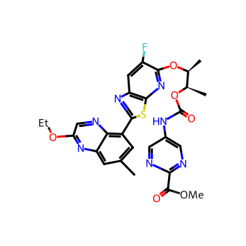 CCOc1cnc2c(-c3nc4cc(F)c(O[C@@H](C)[C@@H](C)OC(=O)Nc5cnc(C(=O)OC)nc5)nc4s3)cc(C)cc2n1